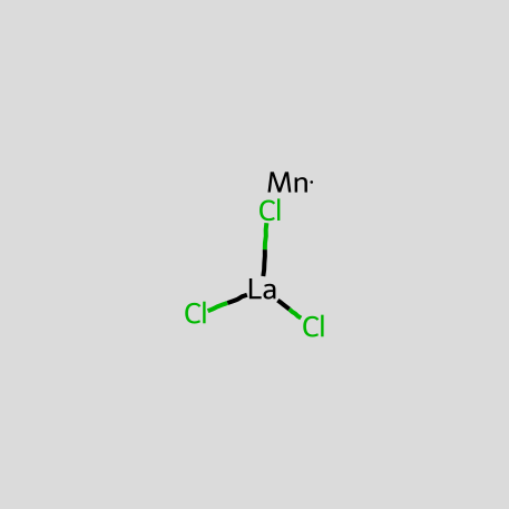 [Cl][La]([Cl])[Cl].[Mn]